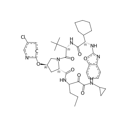 CCCC(NC(=O)[C@@H]1C[C@@H](Oc2ccc(Cl)cn2)CN1C(=O)[C@@H](NC(=O)[C@@H](Nc1nc2ccccc2o1)C1CCCCC1)C(C)(C)C)C(=O)C(=O)NC1CC1